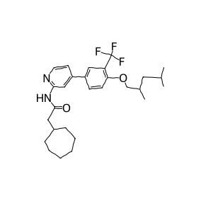 CC(C)CC(C)COc1ccc(-c2ccnc(NC(=O)CC3CCCCCC3)c2)cc1C(F)(F)F